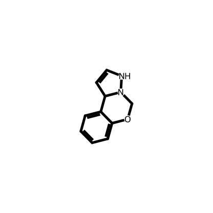 C1=CC2c3ccccc3OCN2N1